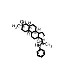 C[C@@H](Nc1ccccc1)[C@H]1CCC2[C@@H]3CC[C@@H]4C[C@](C)(O)CC[C@@H]4C3CC[C@@]21C